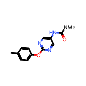 CNC(=O)Nc1cnc(Oc2ccc(C)cc2)nc1